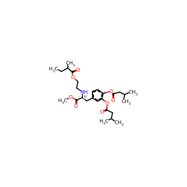 CCC(C)C(=O)OCCN[C@@H](Cc1ccc(OC(=O)CC(C)C)c(OC(=O)CC(C)C)c1)C(=O)OC